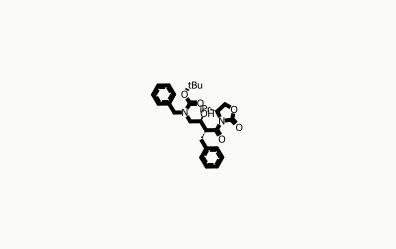 CC(C)[C@@H]1COC(=O)N1C(=O)[C@H](Cc1ccccc1)[C@@H](O)CN(Cc1ccccc1)C(=O)OC(C)(C)C